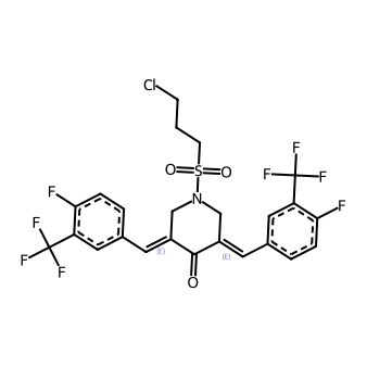 O=C1/C(=C/c2ccc(F)c(C(F)(F)F)c2)CN(S(=O)(=O)CCCCl)C/C1=C\c1ccc(F)c(C(F)(F)F)c1